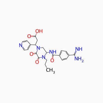 CCCN1C(=O)C(=O)N(C(CC(=O)O)c2ccncc2)CC1NC(=O)c1ccc(C(=N)N)cc1